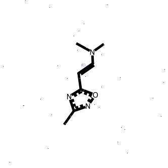 Cc1noc(/C=C/N(C)C)n1